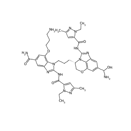 CCn1nc(C)cc1C(=O)Nc1nc2cc(C(N)=O)cc(OCCCN)c2n1CCC[C@H]1COc2cc(C(N)O)cc3nc(NC(=O)c4cc(C)nn4CC)n1c23